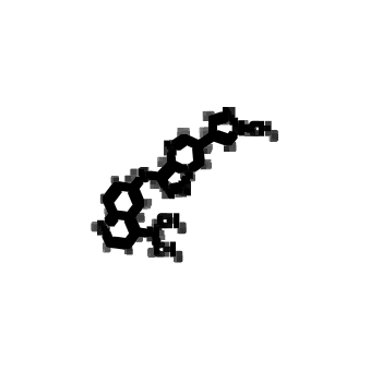 CN(C)c1ccnc2ccc(Sc3nnn4cc(-c5cnn(C)c5)cnc34)cc12